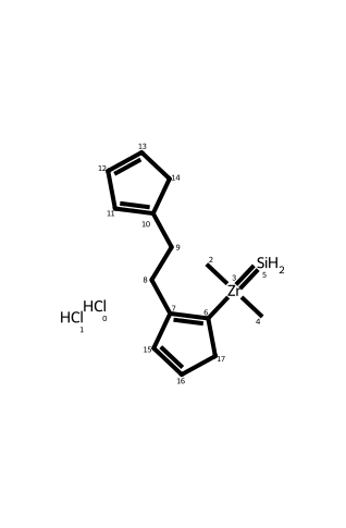 Cl.Cl.[CH3][Zr]([CH3])(=[SiH2])[C]1=C(CCC2=CC=CC2)C=CC1